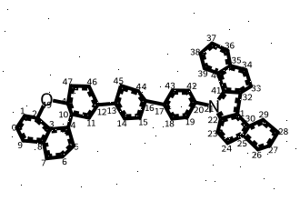 c1cc2c3c(cccc3c1)-c1cc(-c3ccc(-c4ccc(-n5c6ccc7ccccc7c6c6ccc7ccccc7c65)cc4)cc3)ccc1O2